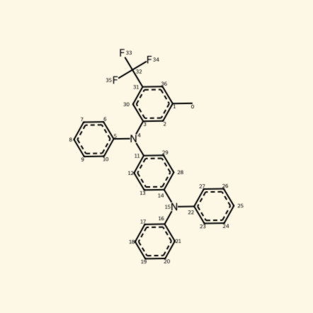 Cc1cc(N(c2ccccc2)c2ccc(N(c3ccccc3)c3ccccc3)cc2)cc(C(F)(F)F)c1